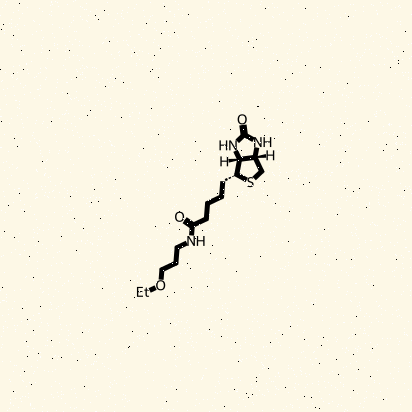 CCOCCCNC(=O)CCCC[C@H]1SC[C@H]2NC(=O)N[C@H]21